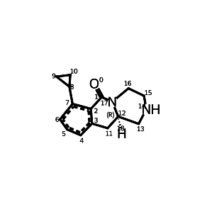 O=C1c2c(cccc2C2CC2)C[C@@H]2CNCCN12